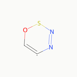 [C]1=COSN=N1